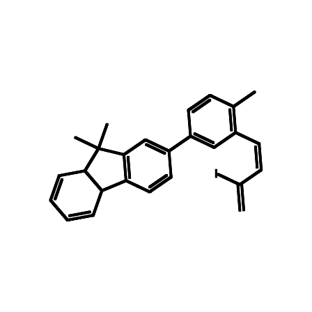 C=C(I)/C=C\c1cc(-c2ccc3c(c2)C(C)(C)C2C=CC=CC32)ccc1C